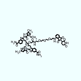 CCn1nc(C)cc1C(=O)Nc1nc2cc(C(N)=O)ccc2n1CCC(CCn1c(NC(=O)c2cc(C)nn2CC)nc2cc(C(N)=O)ccc21)OCC(=O)NCCOCCOCCOCCNc1cccc2c1C(=O)N(C1CCC(=O)NC1=O)C2=O